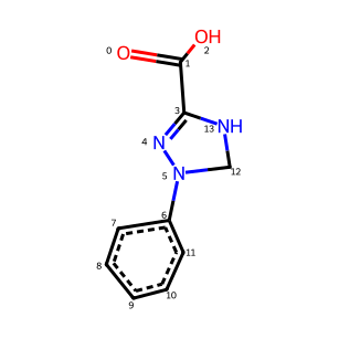 O=C(O)C1=NN(c2ccccc2)CN1